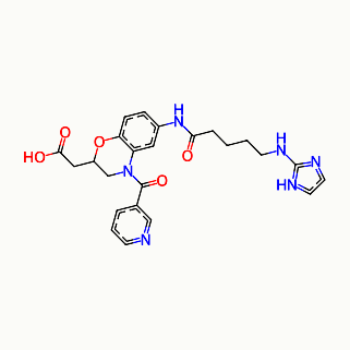 O=C(O)CC1CN(C(=O)c2cccnc2)c2cc(NC(=O)CCCCNc3ncc[nH]3)ccc2O1